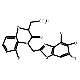 O=C(O)CC1Oc2cccc(F)c2N(Cc2nc3c(Cl)c(Cl)c(Cl)cc3s2)C1=O